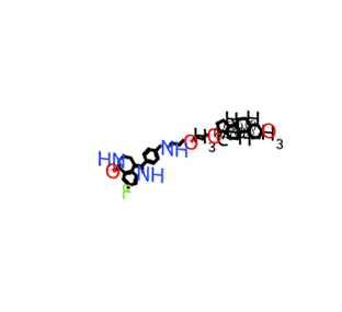 C[C@]12CCC(=O)C[C@@H]1CC[C@@H]1[C@@H]2CC[C@]2(C)[C@@H](OCCCOCCCNCc3ccc(-c4[nH]c5cc(F)cc6c5c4CCNC6=O)cc3)CC[C@@H]12